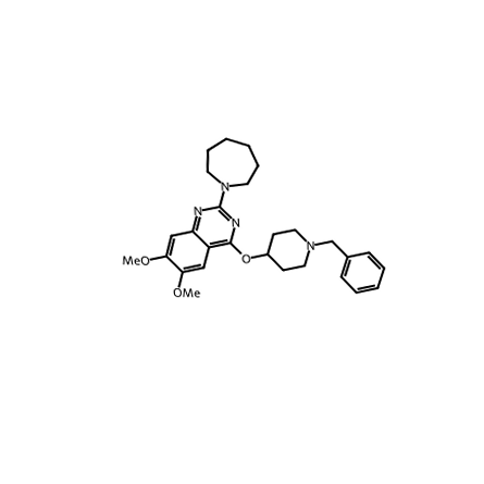 COc1cc2nc(N3CCCCCC3)nc(OC3CCN(Cc4ccccc4)CC3)c2cc1OC